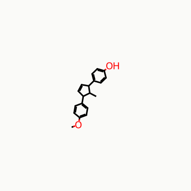 COc1ccc(C2C=CC(c3ccc(O)cc3)C2C)cc1